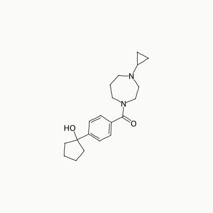 O=C(c1ccc(C2(O)CCCC2)cc1)N1CCCN(C2CC2)CC1